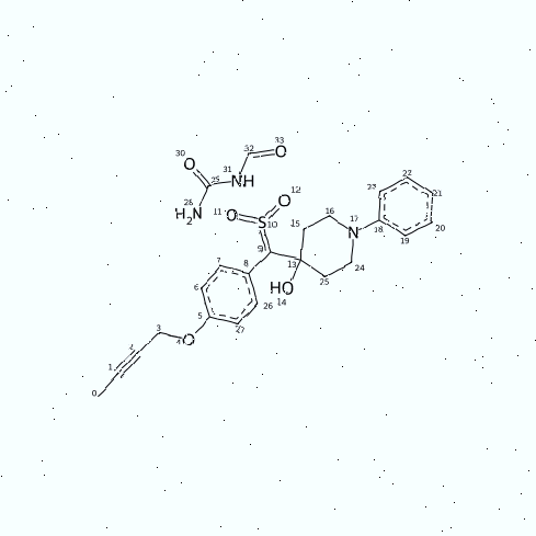 CC#CCOc1ccc(C(=S(=O)=O)C2(O)CCN(c3ccccc3)CC2)cc1.NC(=O)NC=O